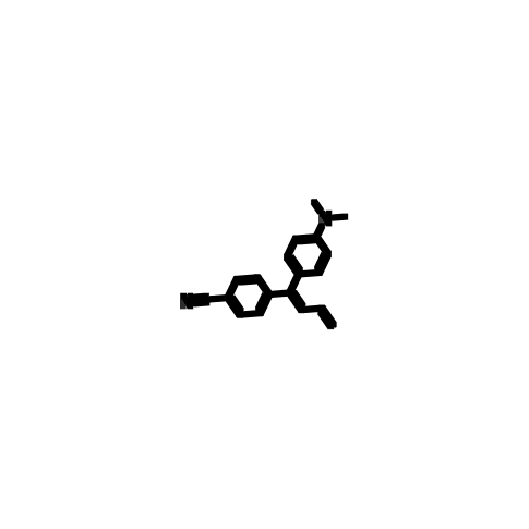 C=CC=C(c1ccc(C#N)cc1)c1ccc(N(C)C)cc1